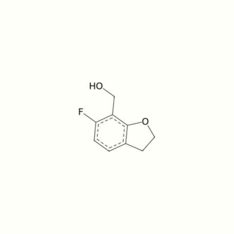 OCc1c(F)ccc2c1OCC2